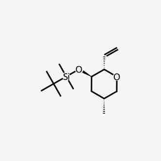 C=C[C@@H]1OC[C@H](C)C[C@H]1O[Si](C)(C)C(C)(C)C